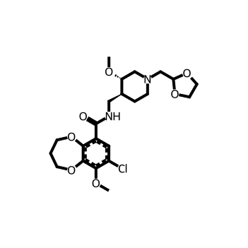 COc1c(Cl)cc(C(=O)NC[C@@H]2CCN(CC3OCCO3)C[C@H]2OC)c2c1OCCCO2